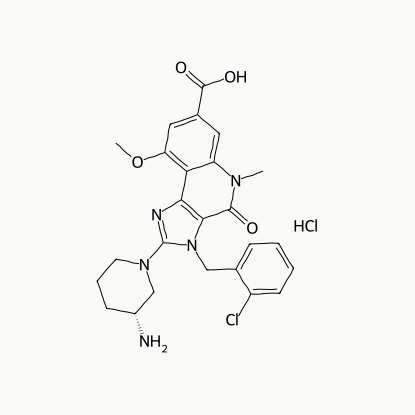 COc1cc(C(=O)O)cc2c1c1nc(N3CCC[C@@H](N)C3)n(Cc3ccccc3Cl)c1c(=O)n2C.Cl